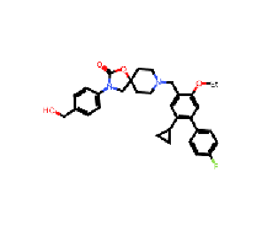 CCOc1cc(-c2ccc(F)cc2)c(C2CC2)cc1CN1CCC2(CC1)CN(c1ccc(CO)cc1)C(=O)O2